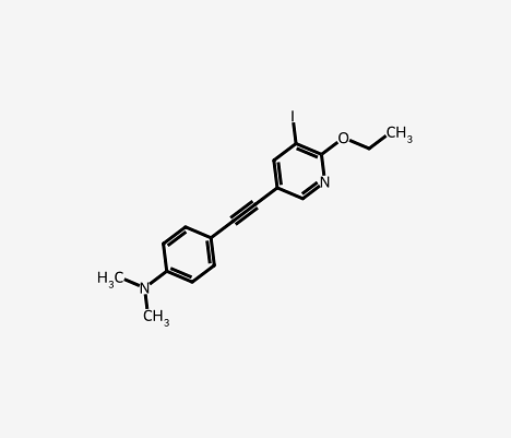 CCOc1ncc(C#Cc2ccc(N(C)C)cc2)cc1I